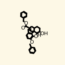 O=C(OCc1ccccc1)N1CCC23c4c5ccc(OCc6ccccc6)c4O[C@H]2[C@@H](O)CCC3C1C5